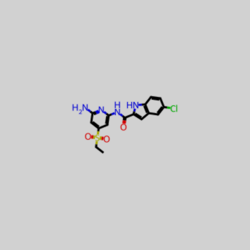 CCS(=O)(=O)c1cc(N)nc(NC(=O)c2cc3cc(Cl)ccc3[nH]2)c1